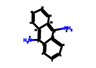 Nc1c2ccccc2c(N)c2ccccc12